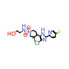 C[C@H]1CN(S(=O)(=O)NCCO)CC[C@H]1c1[nH]c(-c2ccc(F)cn2)nc1Cl